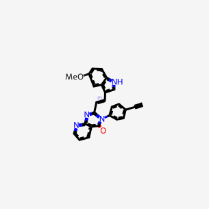 C#Cc1ccc(-n2c(/C=C/c3c[nH]c4ccc(OC)cc34)nc3ncccc3c2=O)cc1